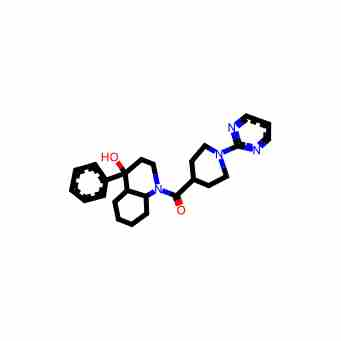 O=C(C1CCN(c2ncccn2)CC1)N1CCC(O)(c2ccccc2)C2CCCCC21